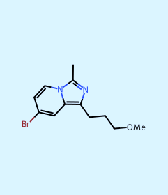 COCCCc1nc(C)n2ccc(Br)cc12